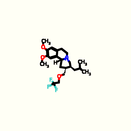 COc1cc2c(cc1OC)[C@H]1C[C@@H](COCC(F)(F)F)[C@H](CC(C)C)CN1CC2